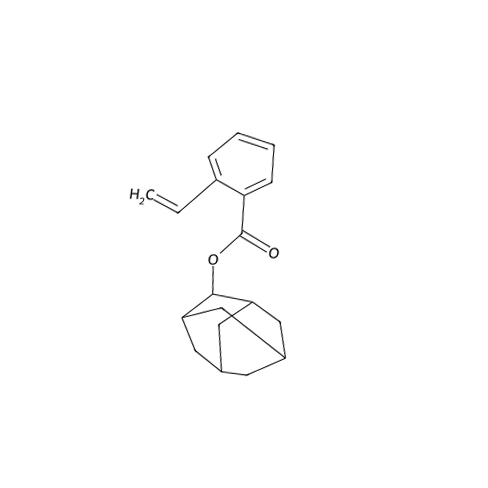 C=Cc1ccccc1C(=O)OC1C2CC3CC(C2)CC1C3